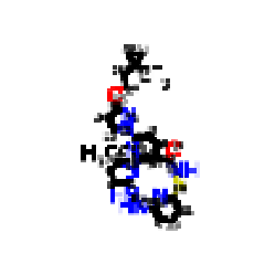 CC1(C)CCC2NNc3cccc(n3)SNC(=O)c3ccc(-n4ccc(OCCC5(C(F)(F)F)CC5)n4)nc3N21